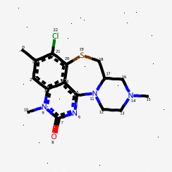 Cc1cc2c3c(nc(=O)n2C)N2CCN(C)CC2CSc3c1Cl